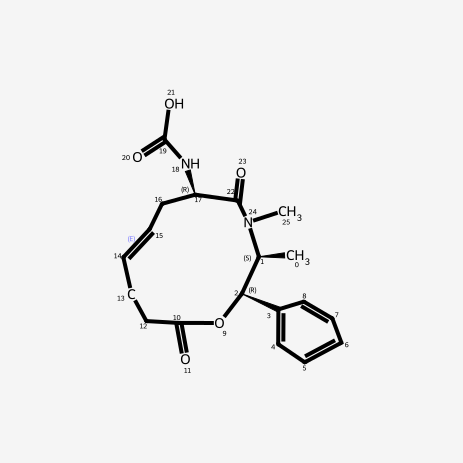 C[C@H]1[C@@H](c2ccccc2)OC(=O)CC/C=C/C[C@@H](NC(=O)O)C(=O)N1C